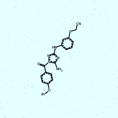 CC(C)Oc1ccc(C(=O)n2nc(Nc3cccc(OCC#N)c3)nc2N)cc1